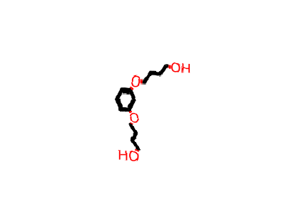 OCCCCOc1cccc(OCCCCO)c1